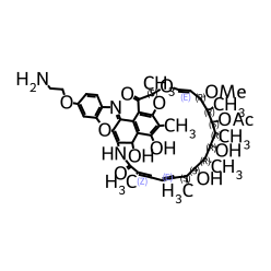 CO[C@H]1/C=C/O[C@@]2(C)Oc3c(C)c(O)c4c(c3C2=O)C2=Nc3ccc(OCCN)cc3OC2=C(NC(=O)/C(C)=C\C=C\[C@H](C)[C@H](O)[C@@H](C)[C@@H](O)[C@@H](C)[C@H](OC(C)=O)[C@@H]1C)C4O